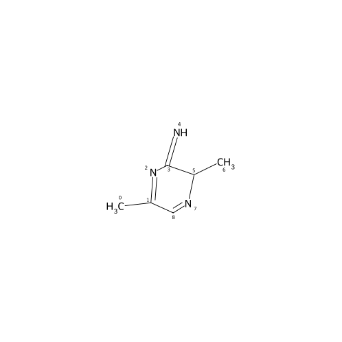 CC1=NC(=N)C(C)N=C1